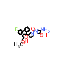 COCCCC[C@@](O)(c1ccccc1-c1cccc(F)c1)[C@@H]1CCCN(C(=O)N2C[C@@H](N)[C@@H](O)C2)C1